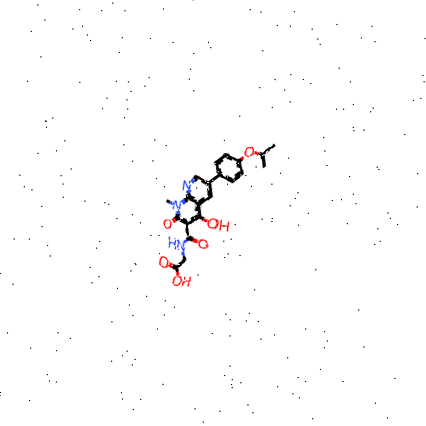 CC(C)Oc1ccc(-c2cnc3c(c2)c(O)c(C(=O)NCC(=O)O)c(=O)n3C)cc1